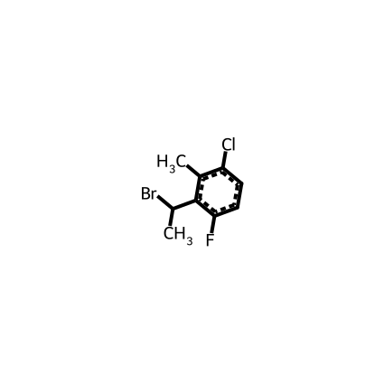 Cc1c(Cl)ccc(F)c1C(C)Br